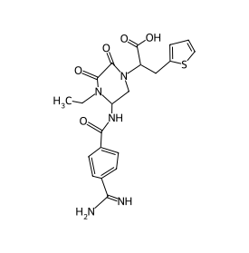 CCN1C(=O)C(=O)N(C(Cc2cccs2)C(=O)O)CC1NC(=O)c1ccc(C(=N)N)cc1